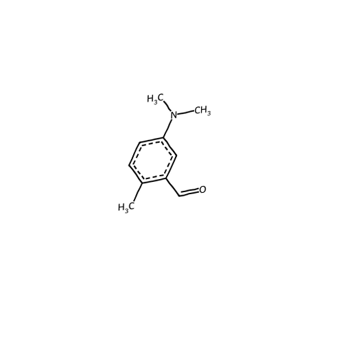 Cc1ccc(N(C)C)cc1C=O